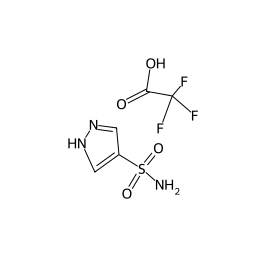 NS(=O)(=O)c1cn[nH]c1.O=C(O)C(F)(F)F